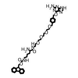 Nc1nc(OCc2ccc(COCCOCCOCCOCCNC(=O)C(N)CCCCNC(=O)OCC3c4ccccc4-c4ccccc43)cc2)c2nc[nH]c2n1